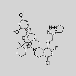 COc1ccc(COC(=O)[C@@]2(C)CCCC[C@H]2C(=O)N2CCc3c(Cl)cc(F)c(OCc4nnn5c4CCC5)c3[C@H]2CN2CC3(CC3)CC2=O)c(OC)c1